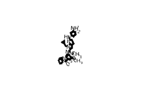 COc1cc(C(=O)N2CC3CCC2C3N)cc2nc(-c3cc4ccc(Nc5cccc(N)c5)nc4n3CC3CC3)n(C)c12